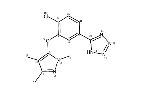 Cc1nn(C)c(Oc2cc(-c3nnn[nH]3)ccc2Cl)c1C